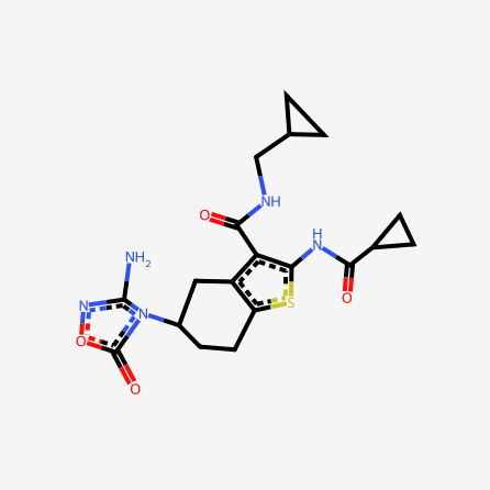 Nc1noc(=O)n1C1CCc2sc(NC(=O)C3CC3)c(C(=O)NCC3CC3)c2C1